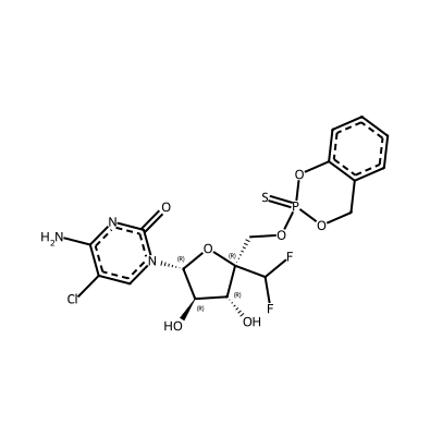 Nc1nc(=O)n([C@@H]2O[C@@](COP3(=S)OCc4ccccc4O3)(C(F)F)[C@H](O)[C@H]2O)cc1Cl